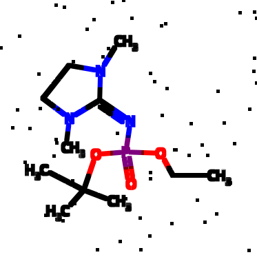 CCOP(=O)(N=C1N(C)CCN1C)OC(C)(C)C